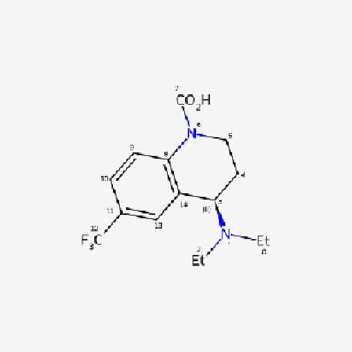 CCN(CC)[C@@H]1CCN(C(=O)O)c2ccc(C(F)(F)F)cc21